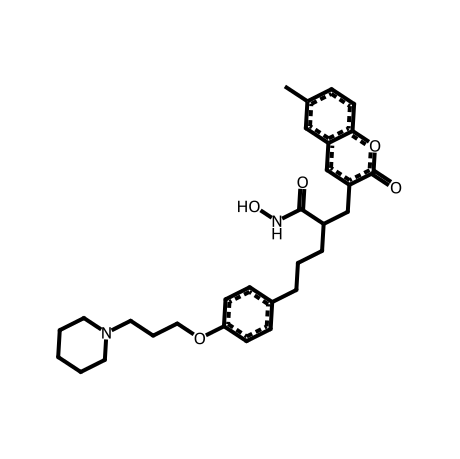 Cc1ccc2oc(=O)c(CC(CCCc3ccc(OCCCN4CCCCC4)cc3)C(=O)NO)cc2c1